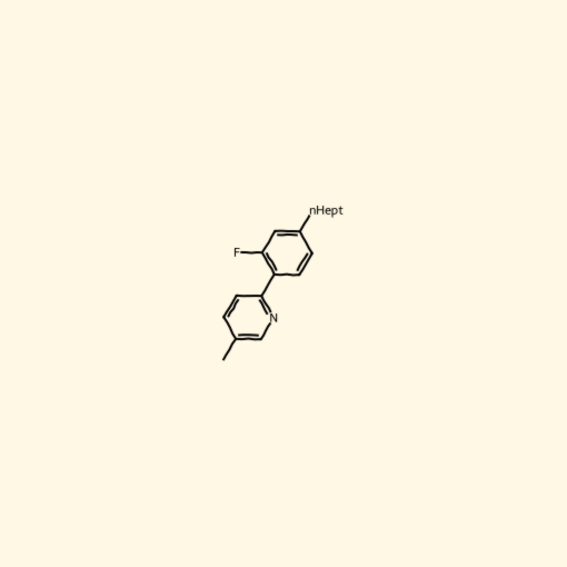 CCCCCCCc1ccc(-c2ccc(C)cn2)c(F)c1